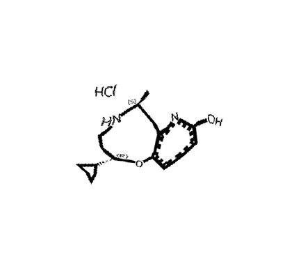 C[C@@H]1NC[C@@H](C2CC2)Oc2ccc(O)nc21.Cl